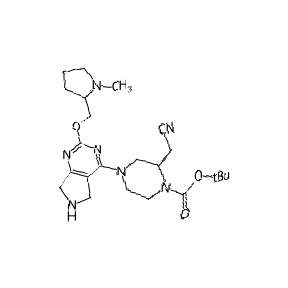 CN1CCCC1COc1nc2c(c(N3CCN(C(=O)OC(C)(C)C)C(CC#N)C3)n1)CNC2